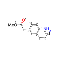 CC/C=C\c1cc(CC(=O)OC)ccc1N